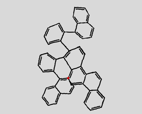 c1ccc(-c2cccc3ccccc23)c(-c2ccc3c(ccc4c5ccccc5ccc34)c2-c2ccccc2-c2cccc3ccccc23)c1